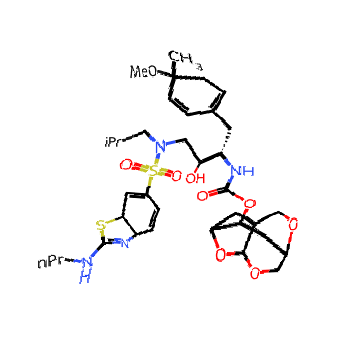 CCCNC1=NC2C=CC(S(=O)(=O)N(CC(C)C)CC(O)[C@H](CC3=CCC(C)(OC)C=C3)NC(=O)OC3C4COC5OC3CC5CO4)=CC2S1